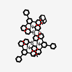 CC(C)(C)c1cc2c3c(c1)N(c1c(-c4ccccc4)cc(-c4ccccc4)cc1-c1ccccc1)c1cc4c(cc1B3c1ccccc1N2c1c(-c2ccccc2)cc(-c2ccccc2)cc1-c1ccccc1)B1c2ccccc2N(c2c(-c3ccccc3)cc(-c3ccccc3)cc2-c2ccccc2)c2cc(N3C5CC6CC(C5)CC3C6)cc(c21)O4